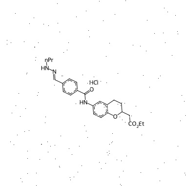 CCCNN=Cc1ccc(C(=O)Nc2ccc3c(c2)CCC(CC(=O)OCC)O3)cc1.Cl